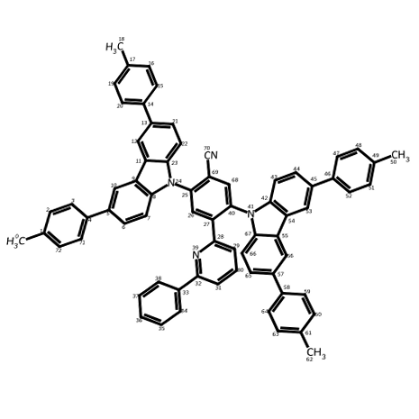 Cc1ccc(-c2ccc3c(c2)c2cc(-c4ccc(C)cc4)ccc2n3-c2cc(-c3cccc(-c4ccccc4)n3)c(-n3c4ccc(-c5ccc(C)cc5)cc4c4cc(-c5ccc(C)cc5)ccc43)cc2C#N)cc1